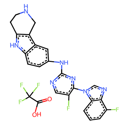 Fc1cnc(Nc2ccc3[nH]c4c(c3c2)CNCC4)nc1-n1cnc2c(F)cccc21.O=C(O)C(F)(F)F